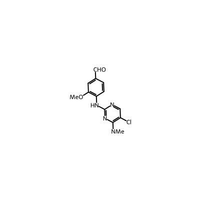 CNc1nc(Nc2ccc(C=O)cc2OC)ncc1Cl